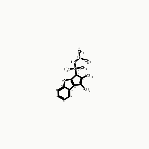 CC1=C(C)C([Si](C)(C)[NH][Ti]([CH3])[CH3])c2sc3ccccc3c21